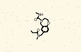 CCC(=O)N(C)Cc1ccc2c(c1)CN(C(=O)NC)CCO2